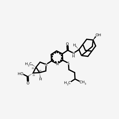 CC(C)CCSc1nc(N2C[C@H]3[C@H](C(=O)O)[C@@]3(C)C2)ccc1C(=O)N[C@H]1C2CC3CC1C[C@@](O)(C3)C2